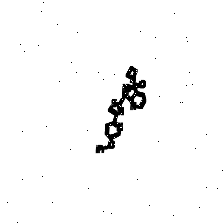 CC(C)Oc1ccc(-c2csc(Nc3ncccc3S(=O)(=O)N3CCC3)n2)nc1